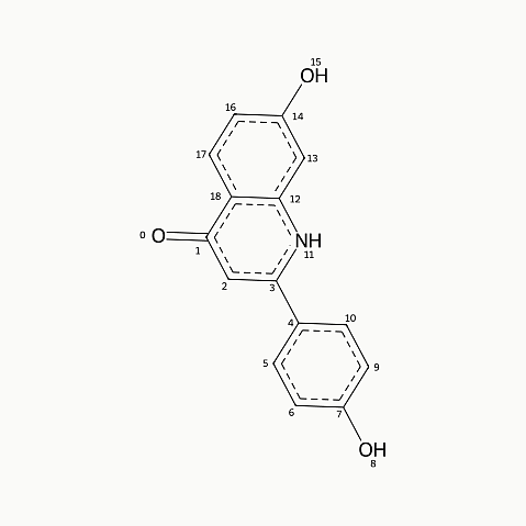 O=c1cc(-c2ccc(O)cc2)[nH]c2cc(O)ccc12